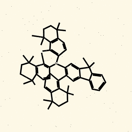 Cc1c(N(c2cc3c(cc2-c2cccc4c2C(C)(C)CCC4(C)C)-c2ccccc2C3(C)C)c2ccc3c(c2C)C(C)(C)CCC3(C)C)ccc2c1C(C)(C)CCC2(C)C